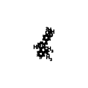 [2H]C1([2H])Oc2ccc(CN3CCNC(c4ccccc4C(C)C)C3)cc2O1